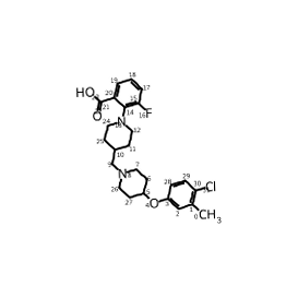 Cc1cc(OC2CCN(CC3CCN(c4c(F)cccc4C(=O)O)CC3)CC2)ccc1Cl